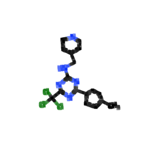 Cc1ccc(-c2nc(NCc3ccncc3)nc(C(Cl)(Cl)Cl)n2)cc1